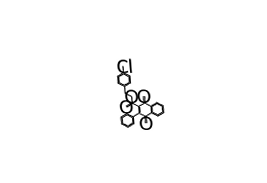 O=C(OCc1ccc(Cl)cc1)C1=C(c2ccccc2)C(=O)c2ccccc2C1=O